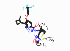 CSCC(C)(NC(=O)c1cc(OCC(F)(F)F)c(C2CCC2)cn1)c1noc(C)n1